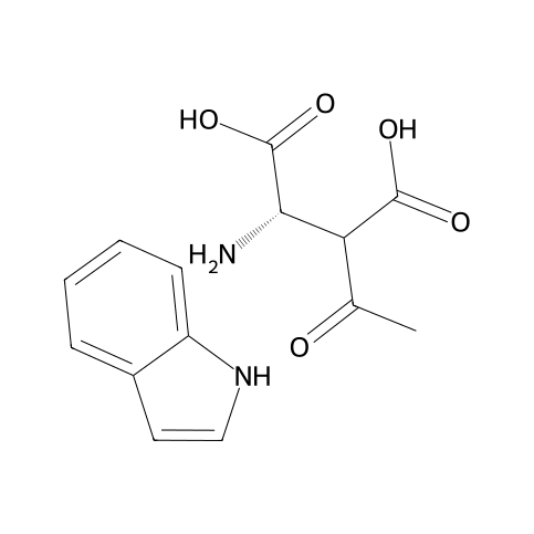 CC(=O)C(C(=O)O)[C@H](N)C(=O)O.c1ccc2[nH]ccc2c1